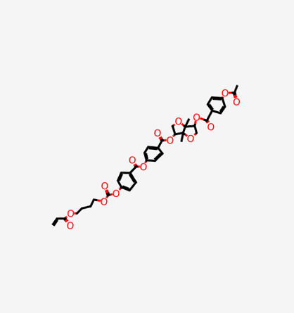 C=CC(=O)OCCCCOC(=O)Oc1ccc(C(=O)Oc2ccc(C(=O)OC3COC4(C)C(OC(=O)c5ccc(OC(C)=O)cc5)COC34C)cc2)cc1